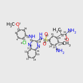 COc1ccc(Cl)c(Nc2nc3ccccc3nc2NS(=O)(=O)c2cc(N)c(C)c(C(C)C(N)=O)c2)c1